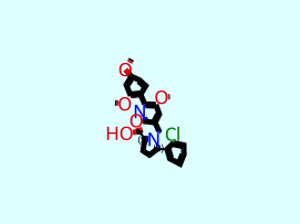 COc1ccc(-c2ncc(CN3[C@@H](c4ccccc4Cl)CC[C@H]3C(=O)O)cc2OC)c(OC)c1